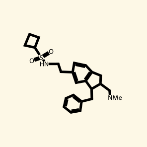 CNCC1Cc2ccc(CCNS(=O)(=O)C3CCC3)cc2C1Cc1ccccc1